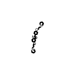 C1=CCN(CCCOc2ccc(-c3nc4ccc(OCCCN5CC=CCC5)cc4o3)cc2)CC1